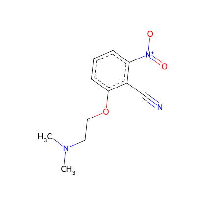 CN(C)CCOc1cccc([N+](=O)[O-])c1C#N